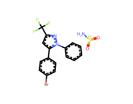 FC(F)(F)c1cc(-c2ccc(Br)cc2)n(-c2ccccc2)n1.N[SH](=O)=O